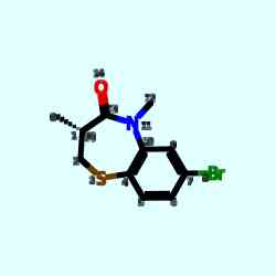 C[C@H]1CSc2ccc(Br)cc2N(C)C1=O